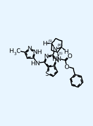 Cc1cc(Nc2nc(N3[C@H]4CC[C@@H]3[C@@H](NC(=O)OCc3ccccc3)C4)nc3ccsc23)[nH]n1